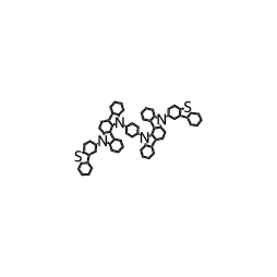 c1ccc2c(c1)sc1ccc(-n3c4ccccc4c4c3ccc3c5ccccc5n(-c5ccc(-n6c7ccccc7c7ccc8c(c9ccccc9n8-c8ccc9sc%10ccccc%10c9c8)c76)cc5)c34)cc12